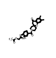 Cc1cc2c(cc1C)C(=O)CC1(CCN(C(=O)c3ccc4nc(COC(=O)C(F)(F)F)[nH]c4c3)CC1)O2